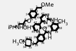 COCCc1ccc(OCC(O)CNC(C)C)cc1.Cc1ccc(NC(=O)c2ccc(CN3CCN(C)CC3)cc2)cc1Nc1nccc(-c2cccnc2)n1